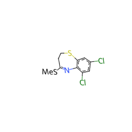 CSC1=Nc2c(Cl)cc(Cl)cc2SCC1